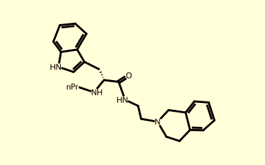 CCCN[C@H](Cc1c[nH]c2ccccc12)C(=O)NCCN1CCc2ccccc2C1